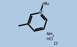 CCCC[n+]1cccc(C)c1.Cl.N.[Cl-]